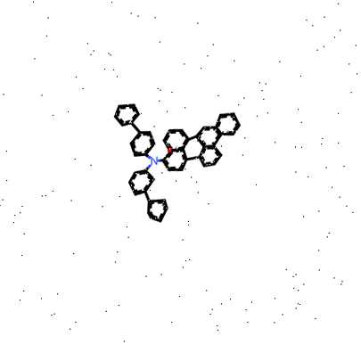 c1ccc(-c2ccc(N(c3ccc(-c4cccc5c4c(-c4ccccc4)cc4ccccc45)cc3)c3cccc(-c4ccccc4)c3)cc2)cc1